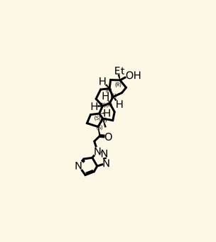 CC[C@@]1(O)CC[C@H]2[C@H](CC[C@@H]3[C@@H]2CC[C@]2(C)[C@@H](C(=O)CN4N=NC5C=CN=CC54)CC[C@@H]32)C1